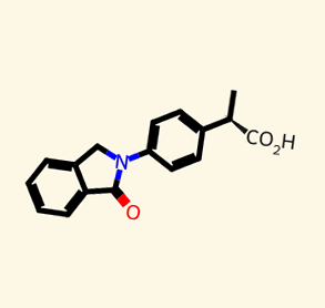 C[C@@H](C(=O)O)c1ccc(N2Cc3ccccc3C2=O)cc1